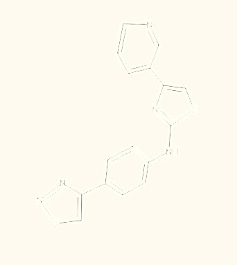 c1cncc(-c2csc(Nc3ccc(-c4csnn4)cc3)n2)c1